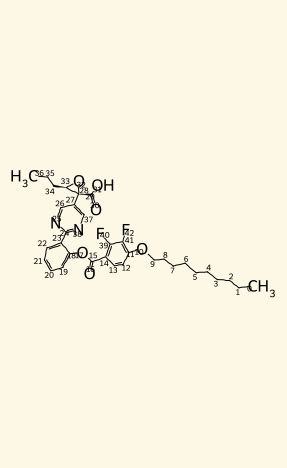 CCCCCCCCCCOc1ccc(C(=O)Oc2ccccc2-c2ncc([C@@]3(C(=O)O)O[C@@H]3CCC)cn2)c(F)c1F